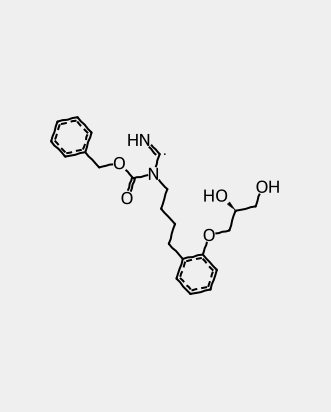 N=[C]N(CCCCc1ccccc1OC[C@@H](O)CO)C(=O)OCc1ccccc1